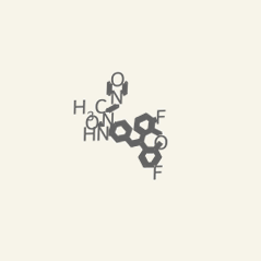 C[C@@H](CN1CCOCC1)n1c(=O)[nH]c2cc(/C=C3/c4ccc(F)cc4OCc4c(F)cccc43)ccc21